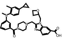 Cc1cc(C2CC2)ccc1N(C)c1cccc(C(=O)N2CCN(Cc3nc4ccc(C(=O)O)cc4n3CC3CCO3)CC2)c1